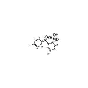 Cc1ccc(C(=O)c2cc(C)ccc2S(=O)(=O)O)cc1